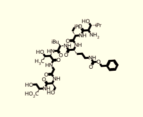 CC[C@H](C)[C@H](NC(=O)[C@@H](CCCNC(=O)OCc1ccccc1)NC(=O)[C@H](CC(C)C)NC(=O)C(N)[C@H](O)C(C)C)C(=O)N[C@H](C(=O)NCC(=O)N[C@@H](CO)C(=O)N[C@@H](CO)C(=O)O)[C@H](C)O